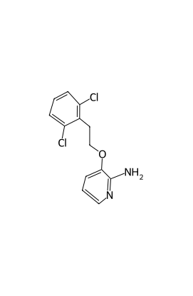 Nc1ncccc1OCCc1c(Cl)cccc1Cl